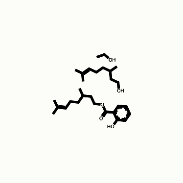 CC(C)=CCCC(C)CCO.CC(C)=CCCC(C)CCOC(=O)c1ccccc1O.CCO